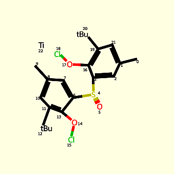 Cc1cc(S(=O)c2cc(C)cc(C(C)(C)C)c2OCl)c(OCl)c(C(C)(C)C)c1.[Ti]